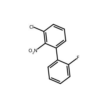 O=[N+]([O-])c1c(Cl)cccc1-c1ccccc1F